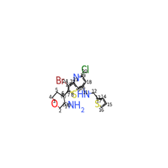 N[C@@H]1COCC[C@H]1c1sc2c(NCc3cccs3)cc(Cl)nc2c1Br